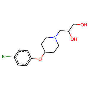 OCC(O)CN1CCC(Oc2ccc(Br)cc2)CC1